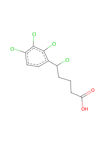 O=C(O)CCCC(Cl)c1ccc(Cl)c(Cl)c1Cl